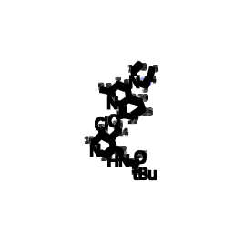 C=CN(/C=C\C)c1cc(C)nc2c(OCc3c(Cl)cncc3CNC(=O)C(C)(C)C)cccc12